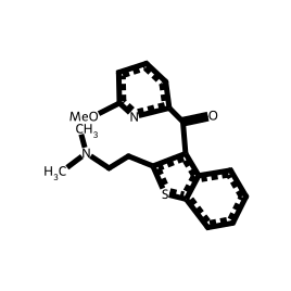 COc1cccc(C(=O)c2c(CCN(C)C)sc3ccccc23)n1